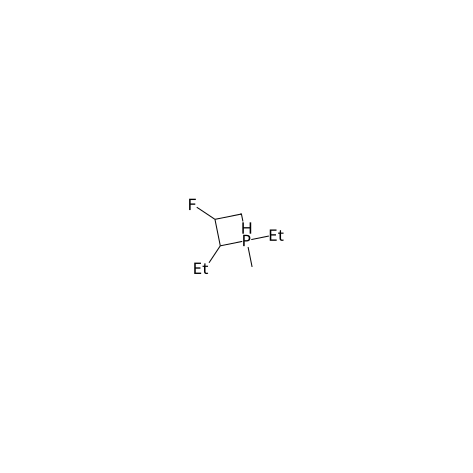 CCC1C(F)C[PH]1(C)CC